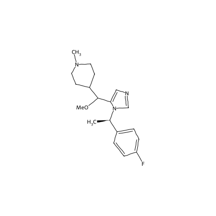 COC(c1cncn1[C@H](C)c1ccc(F)cc1)C1CCN(C)CC1